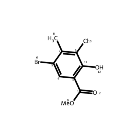 COC(=O)c1cc(Br)c(C)c(Cl)c1O